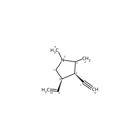 C#C[C@@H]1C(C)N(C)C[C@@H]1C=C